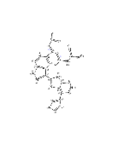 C=C(C)/C=C(\C=C(/C)NC(=O)CCC)c1cc2c(-c3nc4c(-c5ccsc5)cncc4[nH]3)n[nH]c2cn1